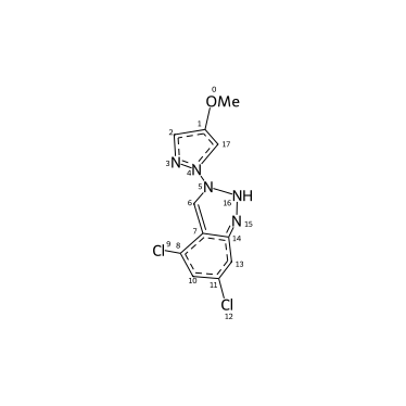 COc1cnn(N2C=c3c(Cl)cc(Cl)cc3=NN2)c1